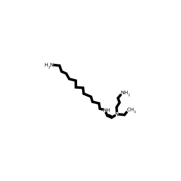 CCN(/C=C\NCCCCCCCCCCCCN)CCCN